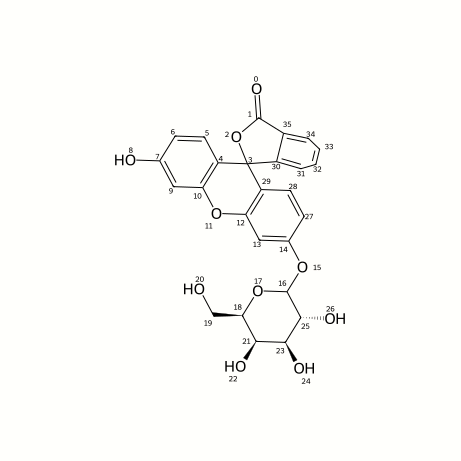 O=C1OC2(c3ccc(O)cc3Oc3cc(OC4O[C@H](CO)[C@H](O)[C@H](O)[C@H]4O)ccc32)c2ccccc21